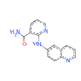 NC(=O)c1cccnc1Nc1ccc2ncccc2c1